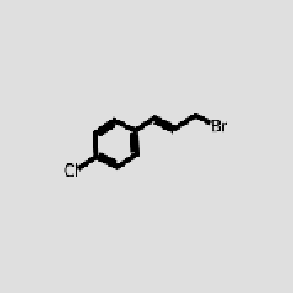 Clc1ccc(/C=C/CBr)cc1